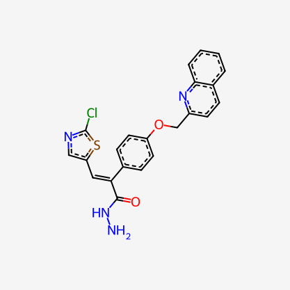 NNC(=O)/C(=C/c1cnc(Cl)s1)c1ccc(OCc2ccc3ccccc3n2)cc1